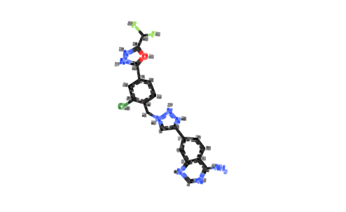 Nc1ncnc2cc(-c3cn(Cc4ccc(-c5nnc(C(F)F)o5)cc4Cl)nn3)ccc12